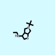 CCNC1CSC2CN(C(C)(C)C)CC12